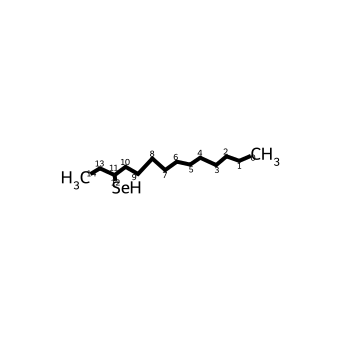 CCCCCCCCCCCC([SeH])CC